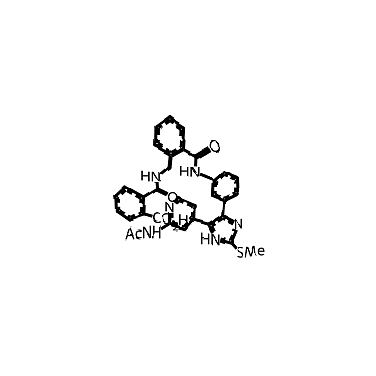 CSc1nc(-c2cccc(NC(=O)c3ccccc3CNC(=O)c3ccccc3C(=O)O)c2)c(-c2ccnc(NC(C)=O)c2)[nH]1